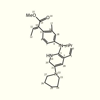 C=CC1=C(N(CCC)c2ccc(/C(=C\C)C(=O)OC)c(C)c2)NCC(N2CCCCC2)=C1